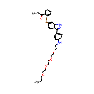 CNC(=O)c1ccccc1Sc1ccc2c(-c3ccc(NCCOCCOCCOCCOCCOC)cc3)n[nH]c2c1